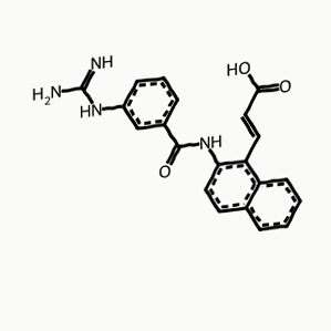 N=C(N)Nc1cccc(C(=O)Nc2ccc3ccccc3c2/C=C/C(=O)O)c1